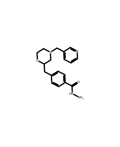 NNC(=O)c1ccc(CC2CN(Cc3cccnc3)CCO2)cc1